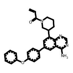 C=CC(=O)N1CCCC(c2cc(-c3ccc(Oc4ccccc4)cc3)cc3c(N)ncnc23)C1